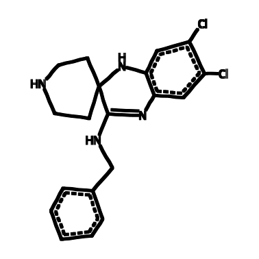 Clc1cc2c(cc1Cl)NC1(CCNCC1)C(NCc1ccccc1)=N2